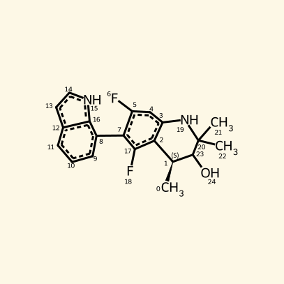 C[C@H]1c2c(cc(F)c(-c3cccc4cc[nH]c34)c2F)NC(C)(C)C1O